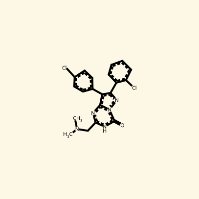 CN(C)Cc1nc2c(-c3ccc(Cl)cc3)c(-c3ccccc3Cl)nn2c(=O)[nH]1